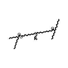 CCCCCCCCC(CCCCCC)C(=O)CCCCCCCCCCN(CCCCCCCCCOC(=O)C(CCCCCC)CCCCCCCC)CCN(C)C